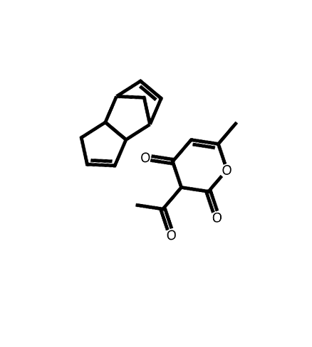 C1=CC2C3C=CC(C3)C2C1.CC(=O)C1C(=O)C=C(C)OC1=O